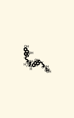 C[C@H](CCC(=O)NC(C)(C)CC(C)(N)N[C@@H]1CC[C@@]2(C)C(C1)C[C@H](O)[C@H]1C3CC[C@H]([C@H](C)CCC(=O)NCCS(=O)(=O)O)[C@@]3(C)CC[C@@H]12)[C@H]1CCC2[C@@H]3[C@@H](O)CC4C[C@H](O)CC[C@]4(C)[C@H]3CC[C@@]21C